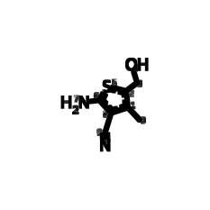 Cc1c(CO)sc(N)c1C#N